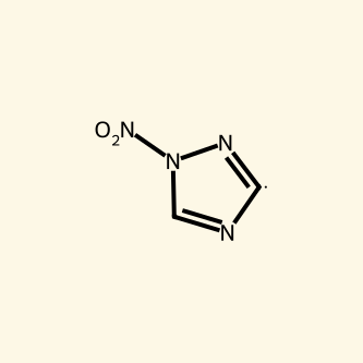 O=[N+]([O-])n1cn[c]n1